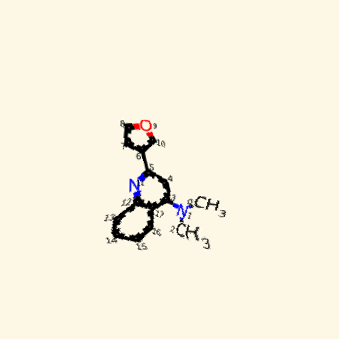 CN(C)c1cc(-c2ccoc2)nc2ccccc12